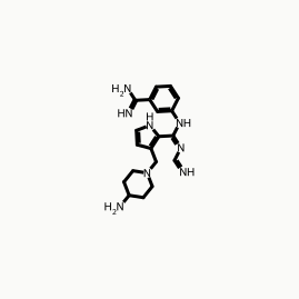 N=C/N=C(/Nc1cccc(C(=N)N)c1)c1[nH]ccc1CN1CCC(N)CC1